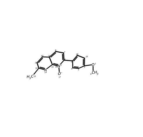 COc1ccc(-c2ccc3ccc(C)nc3[n+]2[O-])cc1